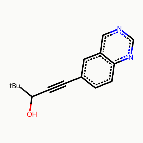 CC(C)(C)C(O)C#Cc1ccc2ncncc2c1